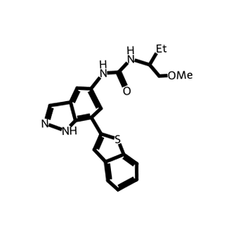 CCC(COC)NC(=O)Nc1cc(-c2cc3ccccc3s2)c2[nH]ncc2c1